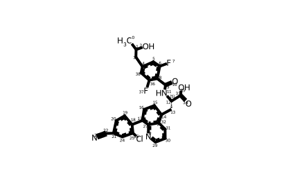 CC(O)Cc1cc(F)c(C(=O)N[C@@H](Cc2ccc(-c3ccc(C#N)cc3Cl)c3ncccc23)C(=O)O)c(F)c1